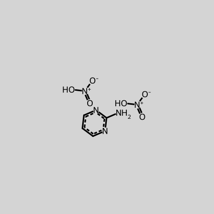 Nc1ncccn1.O=[N+]([O-])O.O=[N+]([O-])O